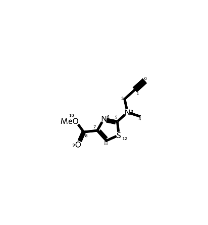 C#CCN(C)c1nc(C(=O)OC)cs1